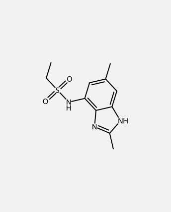 CCS(=O)(=O)Nc1cc(C)cc2[nH]c(C)nc12